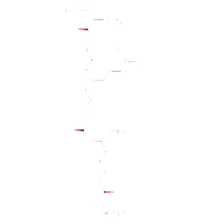 CCCCCCCOC(=O)CCCCC(CCCCCC)OC(=O)OCCCN(CCCOC(=O)C(CCCCCCC)CCCCCCC)CCCN(CC)CC